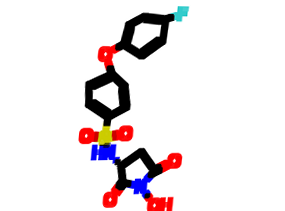 O=C1C[C@@H](NS(=O)(=O)c2ccc(Oc3ccc(F)cc3)cc2)C(=O)N1O